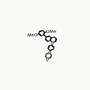 COc1ccc(OC)c(-c2ccc3c(c2)CC=CN3c2ccc(N3CCN(C)CC3)cc2)c1